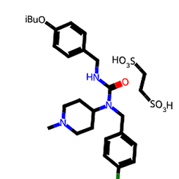 CC(C)COc1ccc(CNC(=O)N(Cc2ccc(F)cc2)C2CCN(C)CC2)cc1.O=S(=O)(O)CCS(=O)(=O)O